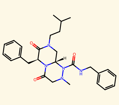 CC(C)CCN1C[C@H]2N(C(=O)CN(C)N2C(=O)NCc2ccccc2)[C@@H](Cc2ccccc2)C1=O